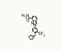 NC(=O)c1cccc2cn(-c3ccc(CN4CCCC4)c(C(F)(F)F)c3)nc12